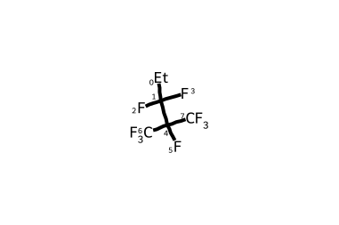 [CH2]CC(F)(F)C(F)(C(F)(F)F)C(F)(F)F